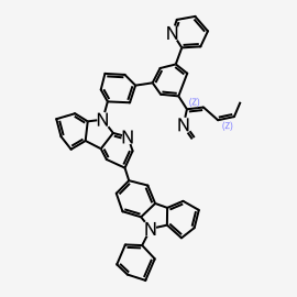 C=N/C(=C\C=C/C)c1cc(-c2cccc(-n3c4ccccc4c4cc(-c5ccc6c(c5)c5ccccc5n6-c5ccccc5)cnc43)c2)cc(-c2ccccn2)c1